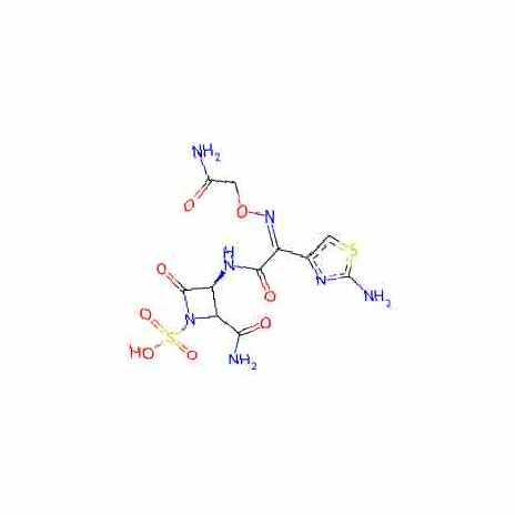 NC(=O)CO/N=C(\C(=O)N[C@@H]1C(=O)N(S(=O)(=O)O)C1C(N)=O)c1csc(N)n1